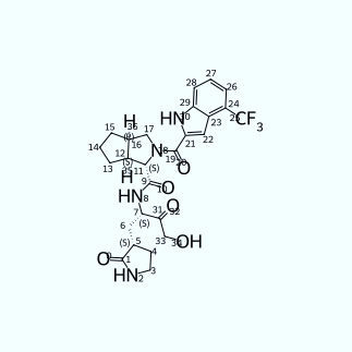 O=C1NCC[C@H]1C[C@H](NC(=O)[C@@H]1[C@H]2CCC[C@H]2CN1C(=O)c1cc2c(C(F)(F)F)cccc2[nH]1)C(=O)CO